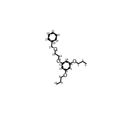 CCCOc1cc(OCCC)cc(OCCOCc2ccccc2)c1